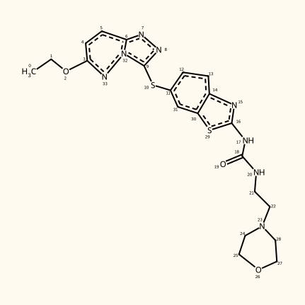 CCOc1ccc2nnc(Sc3ccc4nc(NC(=O)NCCN5CCOCC5)sc4c3)n2n1